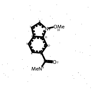 CNC(=O)c1ccc2ccn(OC)c2c1